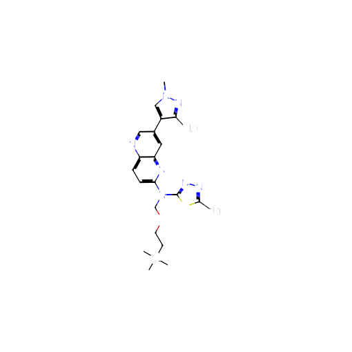 CCCCc1nn(C)cc1-c1cnc2ccc(N(COCC[Si](C)(C)C)c3nnc(C(C)C)s3)nc2c1